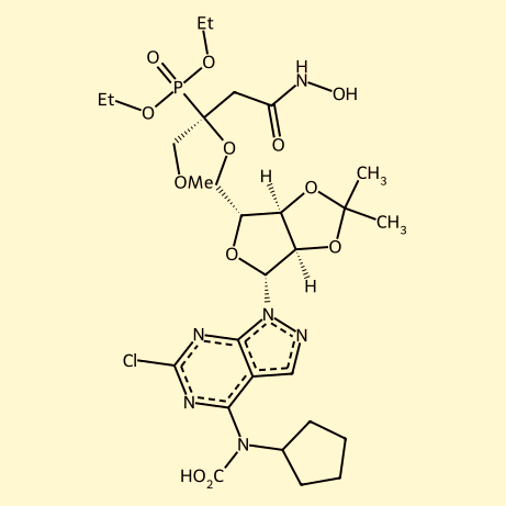 CCOP(=O)(OCC)[C@@](COC)(CC(=O)NO)OC[C@H]1O[C@@H](n2ncc3c(N(C(=O)O)C4CCCC4)nc(Cl)nc32)[C@@H]2OC(C)(C)O[C@@H]21